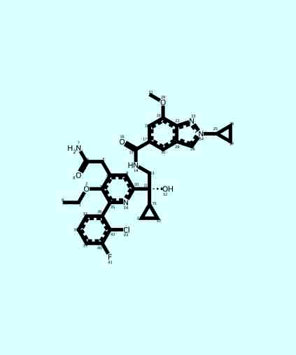 CCOc1c(CC(N)=O)cc([C@@](O)(CNC(=O)c2cc(OC)c3nn(C4CC4)cc3c2)C2CC2)nc1-c1cccc(F)c1Cl